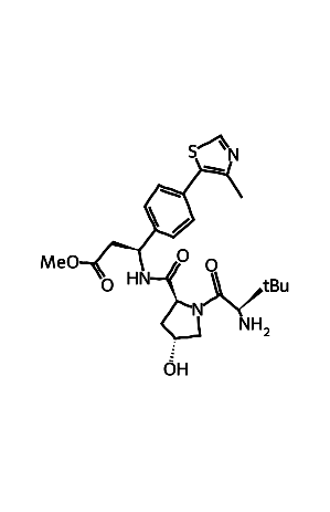 COC(=O)C[C@H](NC(=O)[C@@H]1C[C@@H](O)CN1C(=O)[C@H](N)C(C)(C)C)c1ccc(-c2scnc2C)cc1